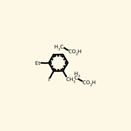 CC(=O)O.CC(=O)O.CCc1cccc(C)c1I